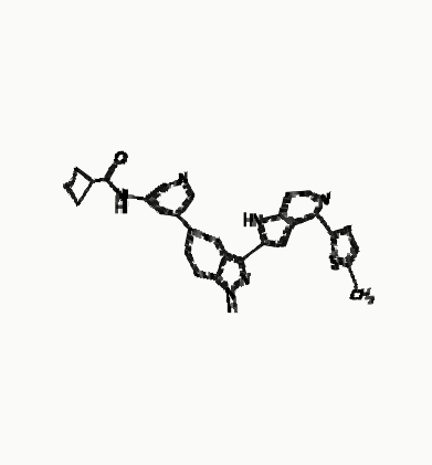 Cc1ccc(-c2nccc3[nH]c(-c4n[nH]c5ccc(-c6cncc(NC(=O)C7CCC7)c6)cc45)cc23)s1